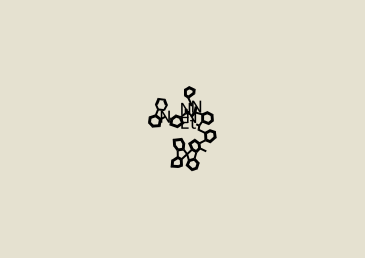 CCC(Cc1ccccc1-c1ccc2c(c1C)-c1ccccc1C21c2ccccc2-c2ccccc21)c1ccccc1-c1nc(-c2ccccc2)nc(-c2cccc(N3c4ccccc4C4C=CC=CC43)c2)n1